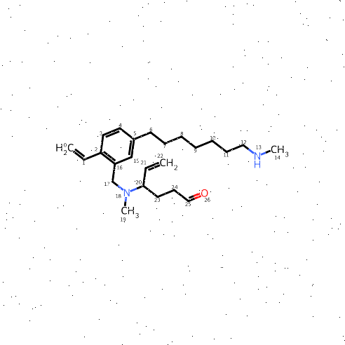 C=Cc1ccc(CCCCCCCNC)cc1CN(C)C(C=C)CCC=O